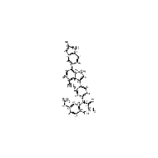 Cc1cc2cc(-c3cnc(N)c4c(-c5ccc(N(C(N)=O)c6cc(CN)ccc6F)cc5)csc34)ccc2[nH]1